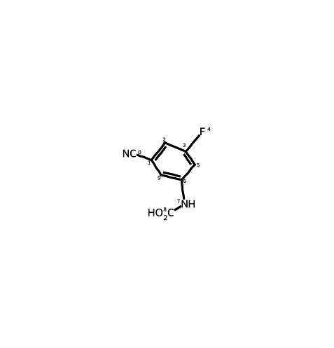 N#Cc1cc(F)cc(NC(=O)O)c1